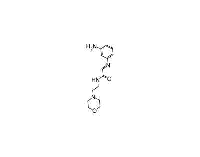 Nc1cccc(N=CC(=O)NCCN2CCOCC2)c1